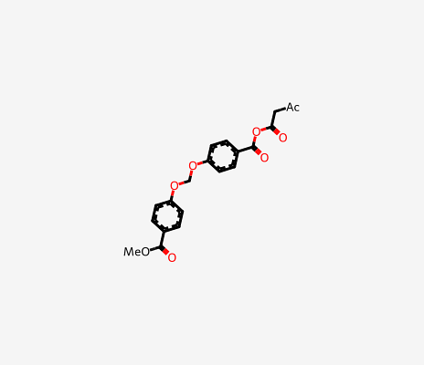 COC(=O)c1ccc(OCOc2ccc(C(=O)OC(=O)CC(C)=O)cc2)cc1